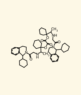 CC(NCC(=O)N1CCc2ccccc2C1C1CCCCC1)C1(OC(=O)C(=O)OC2(C(C)NCC(=O)N3CCc4ccccc4C3C3CCCCC3)CCCCC2)CCCCC1